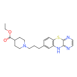 CCOC(=O)C1CCN(CCCc2ccc3c(c2)Nc2nccnc2S3)CC1